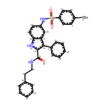 CC(C)(C)c1ccc(S(=O)(=O)Nc2ccc3[nH]c(C(=O)NCCc4ccccc4)c(-c4ccccc4)c3c2)cc1